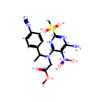 [C-]#[N+]c1ccc(C(C)N(CC(=O)OC)c2nc(S(C)(=O)=O)nc(N)c2[N+](=O)[O-])cc1